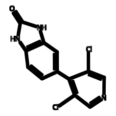 O=c1[nH]c2ccc(-c3c(Cl)cncc3Cl)cc2[nH]1